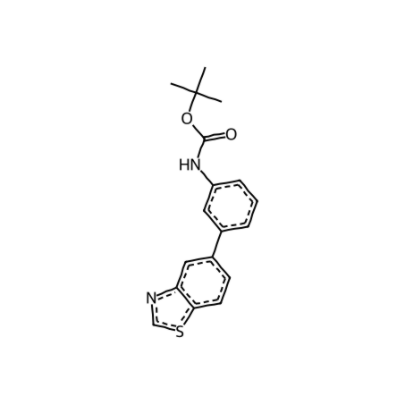 CC(C)(C)OC(=O)Nc1cccc(-c2ccc3scnc3c2)c1